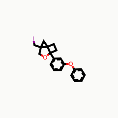 ICC12COC3(c4cccc(Oc5ccccc5)c4)CCC13C2